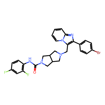 O=C(Nc1ccc(F)cc1F)N1CC2CN(Cc3c(-c4ccc(Br)cc4)nc4ccccn34)CC2C1